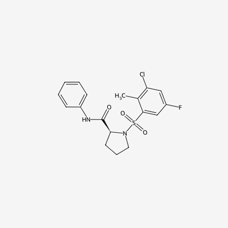 Cc1c(Cl)cc(F)cc1S(=O)(=O)N1CCC[C@H]1C(=O)Nc1ccccc1